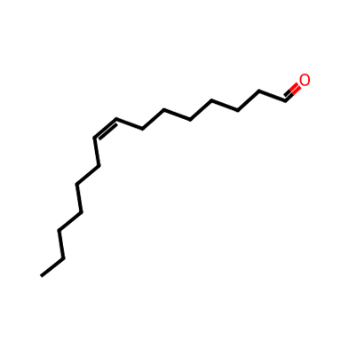 CCCCCC/C=C\CCCCCCC=O